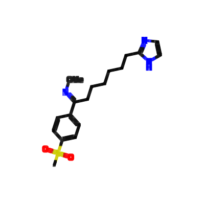 CON=C(CCCCCCc1ncc[nH]1)c1ccc(S(C)(=O)=O)cc1